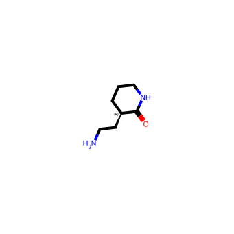 NCC[C@H]1CCCNC1=O